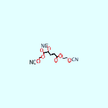 N#COCCOC(=O)CCC(OC#N)C(=O)OCOC#N